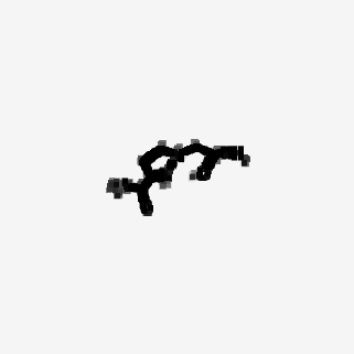 NC(=O)Cn1ccc(C(N)=O)n1